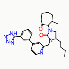 CCCCc1cn(C2C(=O)CCCCC2C)c(=O)n1Cc1cc(-c2cccc(-c3nnn[nH]3)c2)ccn1